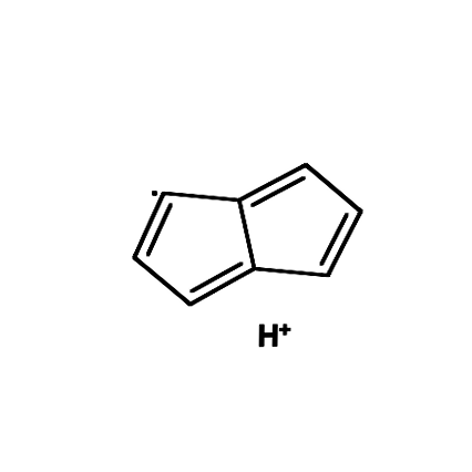 [C]1=CC=C2C=CC=C12.[H+]